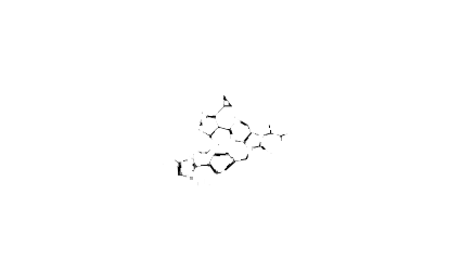 Cn1cc(C(F)(F)F)nc1-c1ccc(Cn2c(=N)n(C(F)C(F)F)c3cnc(-c4c(OCF)ncnc4C4CC4)nc32)cc1